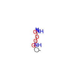 C=NNC(=O)CCOCCOCCNC(=O)C1CCCCCC(C)CC1